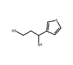 SCCC(S)c1ccsc1